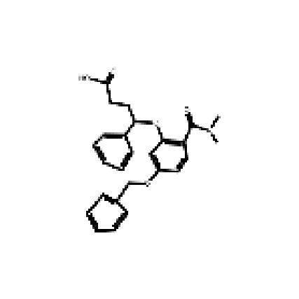 CN(C)C(=O)c1ccc(OCc2ccccc2)cc1OC(CCC(=O)O)c1ccccc1